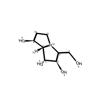 OCC1[C@@H](O)[C@H](O)[C@@H]2[C@@H](O)CCN12